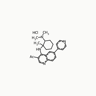 CC(=O)c1cnc2ccc(-c3ccncc3)cc2c1NC1(C)CCCCC1N(C)C.Cl